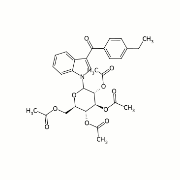 CCc1ccc(C(=O)c2cn(C3O[C@H](COC(C)=O)[C@@H](OC(C)=O)[C@H](OC(C)=O)[C@H]3OC(C)=O)c3ccccc23)cc1